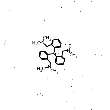 CN(C)Cc1cccc[c]1[Sc]([c]1ccccc1CN(C)C)[c]1ccccc1CN(C)C